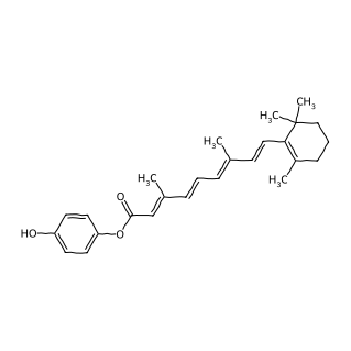 CC1=C(/C=C/C(C)=C/C=C/C(C)=C/C(=O)Oc2ccc(O)cc2)C(C)(C)CCC1